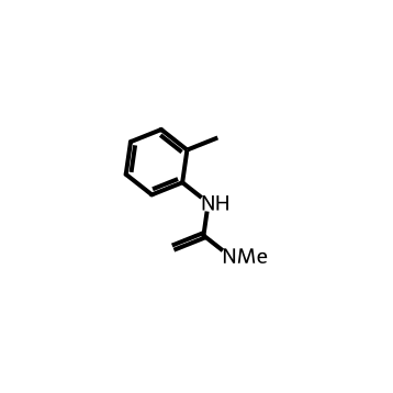 C=C(NC)Nc1ccccc1C